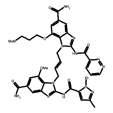 CCn1nc(C)cc1C(=O)Nc1nc2cc(C(N)=O)cc(OC)c2n1C/C=C/Cn1c(NC(=O)c2cccnn2)nc2cc(C(N)=O)cc(OCCCNC)c21